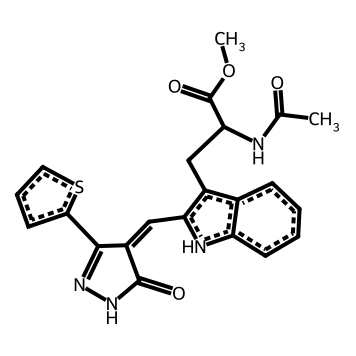 COC(=O)C(Cc1c(C=C2C(=O)NN=C2c2cccs2)[nH]c2ccccc12)NC(C)=O